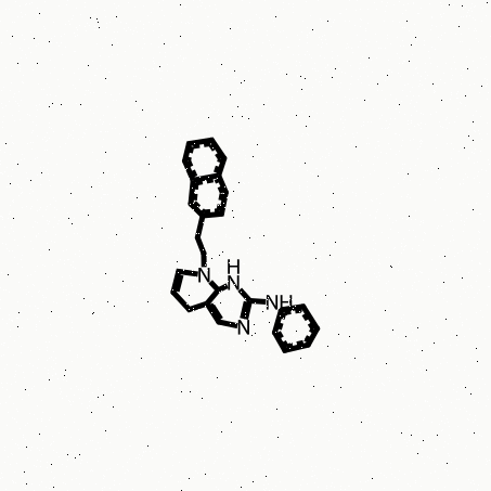 C1=CN(CCc2ccc3ccccc3c2)C2NC(Nc3ccccc3)=NC=C2C1